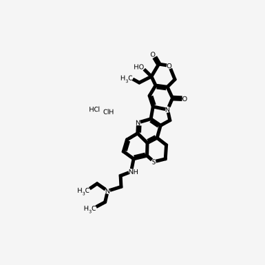 CCN(CC)CCNc1ccc2nc3c(c4c2c1SCC4)Cn1c-3cc2c(c1=O)COC(=O)C2(O)CC.Cl.Cl